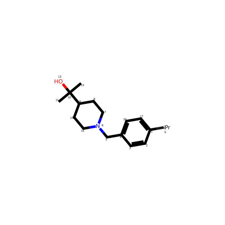 CC(C)c1ccc(CN2CCC(C(C)(C)O)CC2)cc1